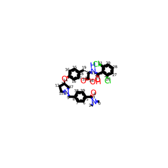 CN(C)C(=O)c1ccc(CN2CC[C@@H](Oc3ccc(C[C@H](NC(=O)c4c(Cl)cccc4Cl)C(=O)O)cc3)C2)cc1